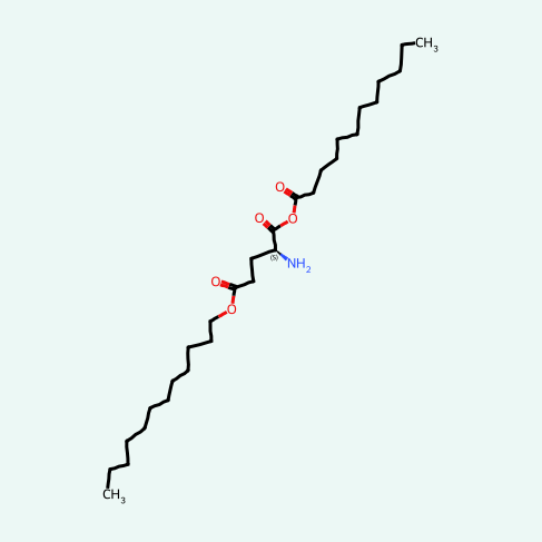 CCCCCCCCCCCCOC(=O)CC[C@H](N)C(=O)OC(=O)CCCCCCCCCCC